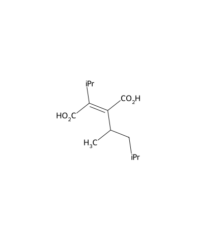 CC(C)CC(C)/C(C(=O)O)=C(\C(=O)O)C(C)C